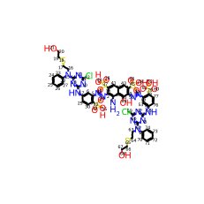 Nc1c(/N=N/c2cc(Nc3nc(Cl)nc(N(CCSCCO)c4ccccc4)n3)ccc2S(=O)(=O)O)c(S(=O)(=O)O)cc2cc(S(=O)(=O)O)c(/N=N/c3cc(Nc4nc(Cl)nc(N(CCSCCO)c5ccccc5)n4)ccc3S(=O)(=O)O)c(O)c12